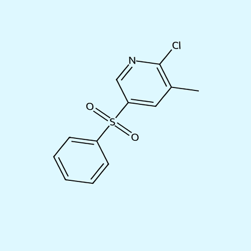 Cc1cc(S(=O)(=O)c2ccccc2)cnc1Cl